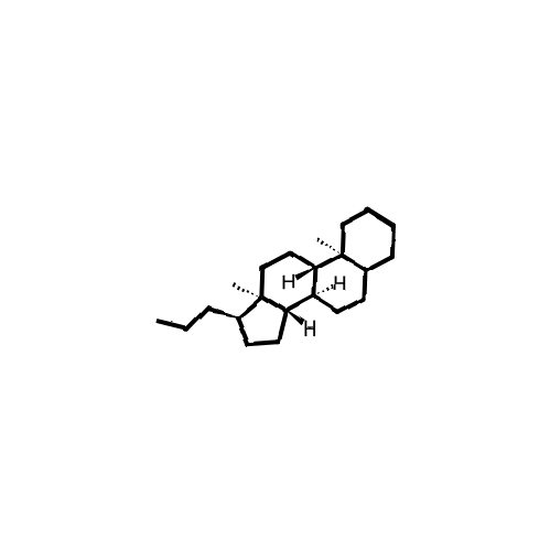 CCC[C@@H]1CC[C@H]2[C@@H]3CCC4CCCC[C@]4(C)[C@H]3CC[C@]12C